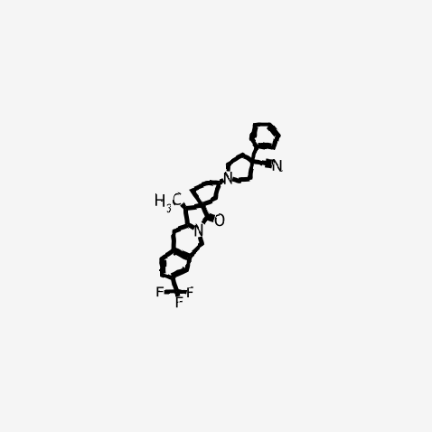 CC1C2Cc3ccc(C(F)(F)F)cc3CN2C(=O)C12CCC(N1CCC(C#N)(c3ccccc3)CC1)C2